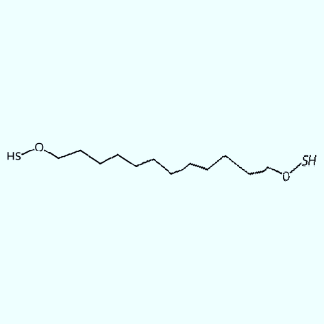 SOCCCCCCCCCCCCOS